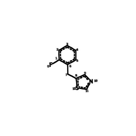 Fc1ccccc1Cc1cncs1